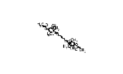 C=CC(=O)OC1CC(C)(C)N(OCCCCCCCCON2C(C)(C)CC(OC(=O)C=C)CC2(C)C)C(C)(C)C1